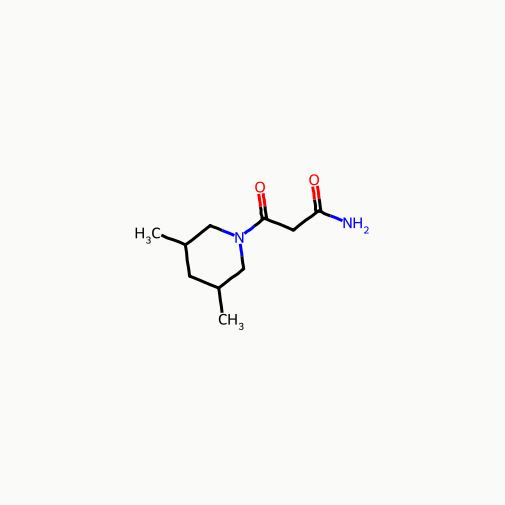 CC1CC(C)CN(C(=O)CC(N)=O)C1